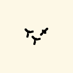 CP(C)C.CP(C)C.[CH3][Ni][CH3]